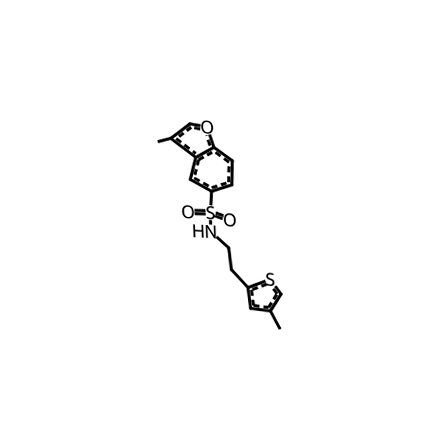 Cc1csc(CCNS(=O)(=O)c2ccc3occ(C)c3c2)c1